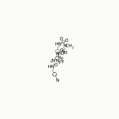 CN(CCS(=O)(=O)O)c1c(NCCC2CCN(c3cc(N4CC[C@H]4C(=O)NCCc4ccc(C#N)cc4)nc(C(F)(F)F)n3)CC2)c(=O)c1=O